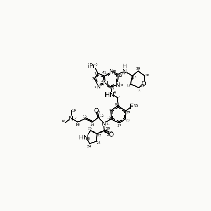 CC(C)c1cnn2c(NCc3cc(N(C(=O)C=CCN(C)C)C(=O)C4CCNC4)ccc3F)nc(NC3CCOCC3)nc12